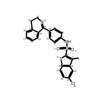 Cc1c(S(=O)(=O)Nc2ccc(C3=NCCc4ccccc43)cc2)sc2ccc(Cl)cc12